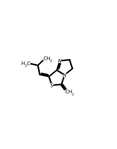 C=C1SC(=CC(C)C)C2=NCCN12